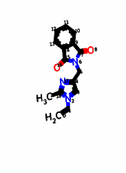 C=Cn1cc(CN2C(=O)c3ccccc3C2=O)nc1C